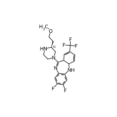 COCC[C@H]1CN(C2=Nc3cc(F)c(F)cc3NC3C=CC(C(F)(F)F)=CC23)CCN1